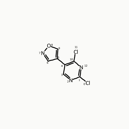 Clc1ncc(-c2cnoc2)c(Cl)n1